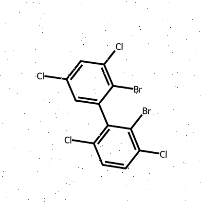 Clc1cc(Cl)c(Br)c(-c2c(Cl)c[c]c(Cl)c2Br)c1